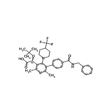 Cc1nc(C)c([C@H](OC(C)(C)C)C(=O)O)c(N2CCC(C(F)(F)F)CC2)c1-c1ccc(C(=O)NCc2ccccc2)cc1